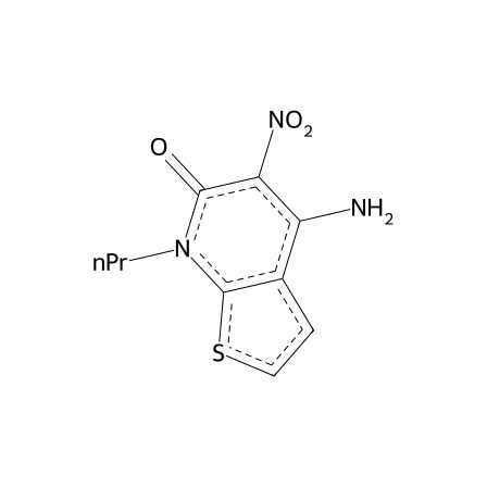 CCCn1c(=O)c([N+](=O)[O-])c(N)c2ccsc21